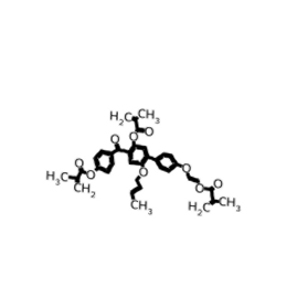 C=C(C)C(=O)O/C=C/Oc1ccc(-c2cc(OC(=O)C(=C)C)c(C(=O)c3ccc(OC(=O)C(=C)C)cc3)cc2OC/C=C/C)cc1